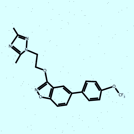 Cc1nc(C)n(CCOc2noc3ccc(-c4ccc(OC(F)(F)F)cc4)cc23)n1